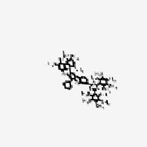 Bc1cc(B)c2c(c1B)c1c(B)c(B)cc(B)c1n2-c1cc(-c2ccccc2)c2oc3cc(-c4nc(-c5c(B)c(B)c(B)c(B)c5B)nc(-c5c(B)c(B)c(B)c(B)c5B)n4)ccc3c2c1